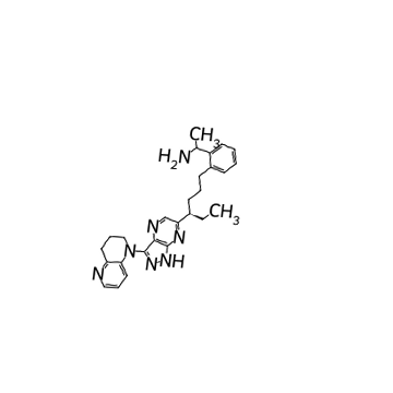 CC[C@H](CCCc1ccccc1C(C)N)c1cnc2c(N3CCCc4ncccc43)n[nH]c2n1